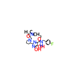 CN(C)C(=O)CN1CCCC1c1nc(O)c(O)c(C(=O)NCc2ccc(F)cc2)n1